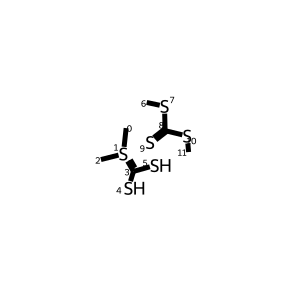 CS(C)=C(S)S.CSC(=S)SC